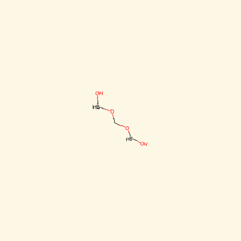 OBOCOBO